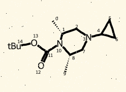 C[C@@H]1CN(C2CC2)C[C@H](C)N1C(=O)OC(C)(C)C